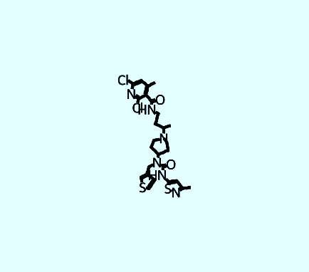 Cc1cc(NC(=O)N(Cc2ccsc2)C2CCN(C(C)CCNC(=O)c3c(C)cc(Cl)nc3Cl)CC2)sn1